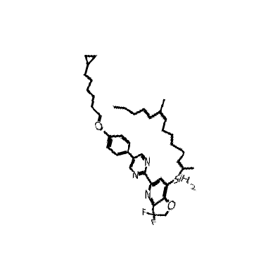 CCCCCC(C)CCCCCCC(C)[SiH2]c1cc(-c2ncc(-c3ccc(OCCCCCCC4CC4)cc3)cn2)nc2c1OCC2(F)F